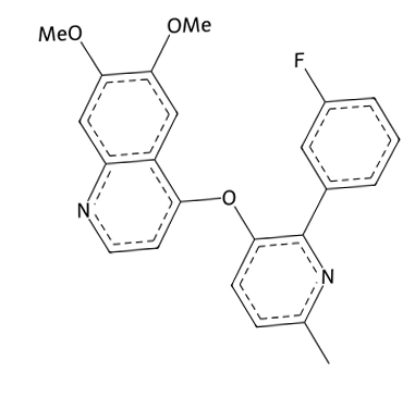 COc1cc2nccc(Oc3ccc(C)nc3-c3cccc(F)c3)c2cc1OC